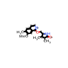 COc1cc2c(OCC3NC(=O)[C@H](C)C3C)nccc2cc1C